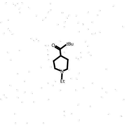 CCN1CCC(C(=O)C(C)(C)C)CC1